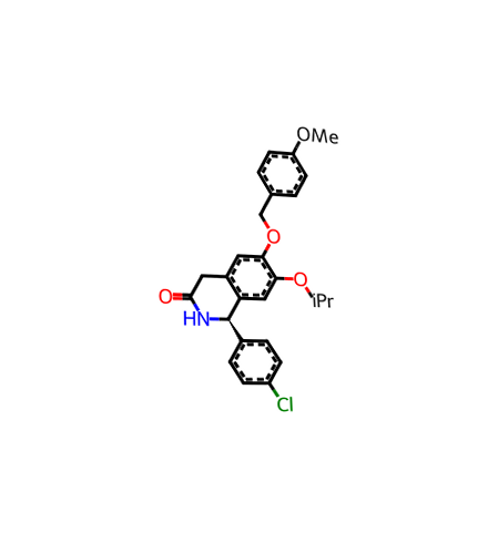 COc1ccc(COc2cc3c(cc2OC(C)C)[C@@H](c2ccc(Cl)cc2)NC(=O)C3)cc1